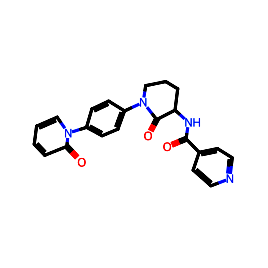 O=C(NC1CCCN(c2ccc(-n3ccccc3=O)cc2)C1=O)c1ccncc1